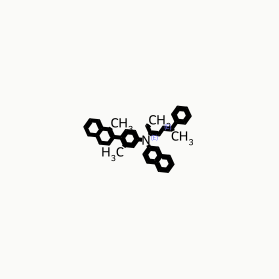 C=C/C(=C\C=C(/C)c1ccccc1)N(c1ccc(C2=C(C)C3=CC=CCC3CC2)c(C)c1)c1ccc2ccccc2c1